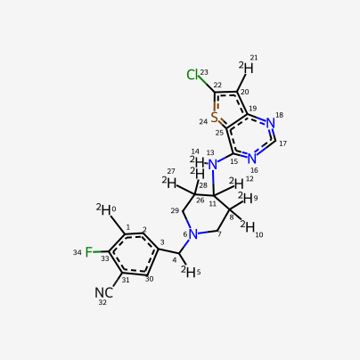 [2H]c1cc(C([2H])N2CC([2H])([2H])C([2H])(N([2H])c3ncnc4c([2H])c(Cl)sc34)C([2H])([2H])C2)cc(C#N)c1F